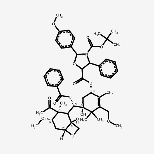 COCC1=C(C)[C@@H](OC(=O)C2OC(c3ccc(OC)cc3)N(C(=O)OC(C)(C)C)C2c2ccccc2)C[C@@](O)([C@@H](OC(=O)c2ccccc2)C2[C@]3(O)CO[C@@H]3C[C@H](OC)[C@@]2(C)C(C)=O)C1(C)C